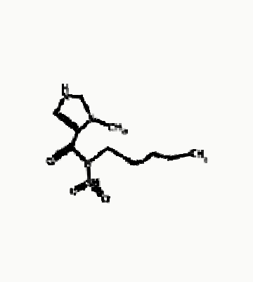 CCCCCN(C(=O)C1=CNCN1C)[SH](=O)=O